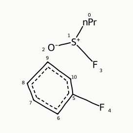 CCC[S+]([O-])F.Fc1ccccc1